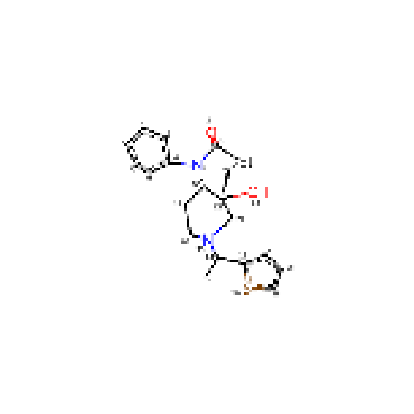 CCC(=O)N(c1ccccc1)[C@H]1CCN(C(C)c2cccs2)C[C@@]1(C)O